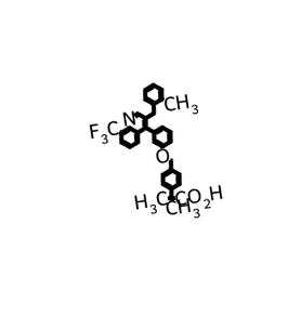 Cc1ccccc1Cc1cnc2c(C(F)(F)F)cccc2c1-c1cccc(OCc2ccc(C(C)(C)C(=O)O)cc2)c1